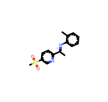 C/C(=N\c1ccccc1C)c1ccc(S(C)(=O)=O)cn1